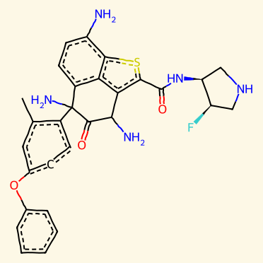 Cc1cc(Oc2ccccc2)ccc1C1(N)C(=O)C(N)c2c(C(=O)N[C@H]3CNC[C@H]3F)sc3c(N)ccc1c23